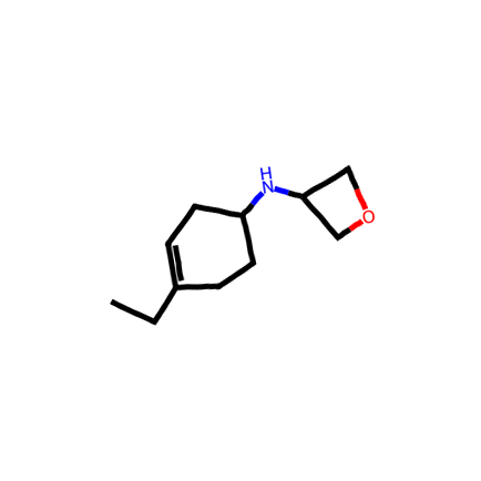 CCC1=CCC(NC2COC2)CC1